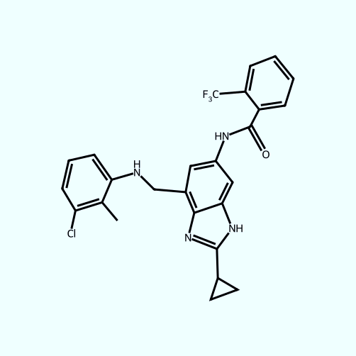 Cc1c(Cl)cccc1NCc1cc(NC(=O)c2ccccc2C(F)(F)F)cc2[nH]c(C3CC3)nc12